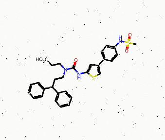 CS(=O)(=O)Nc1ccc(-c2csc(NC(=O)N(CCC(=O)O)CCC(c3ccccc3)c3ccccc3)c2)cc1